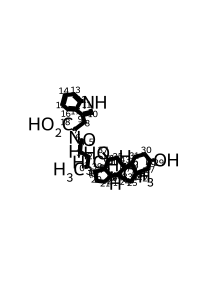 CC(CCC(=O)NC(Cc1c[nH]c2ccccc12)C(=O)O)[C@H]1CC[C@H]2[C@@H]3CC[C@@H]4C[C@H](O)CC[C@]4(C)[C@H]3C[C@H](O)[C@]12C